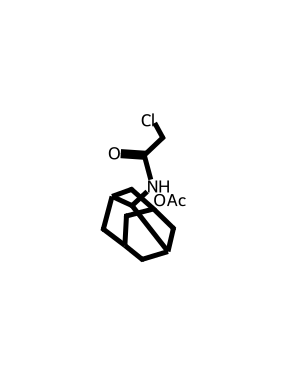 CC(=O)OC12CC3CC(C1)C(NC(=O)CCl)C(C3)C2